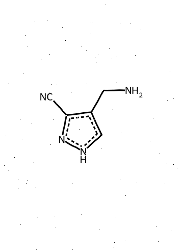 N#Cc1n[nH]cc1CN